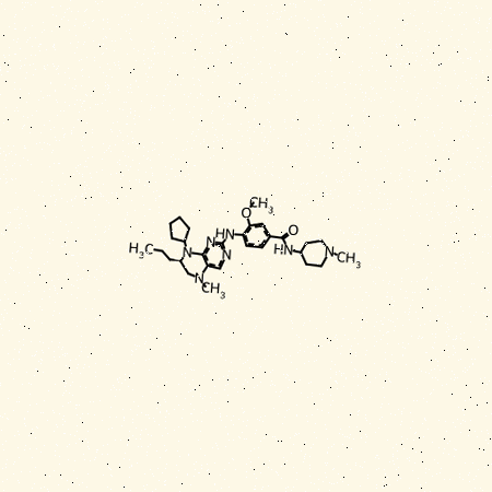 CCC[C@@H]1CN(C)c2cnc(Nc3ccc(C(=O)NC4CCN(C)CC4)cc3OC)nc2N1C1CCCC1